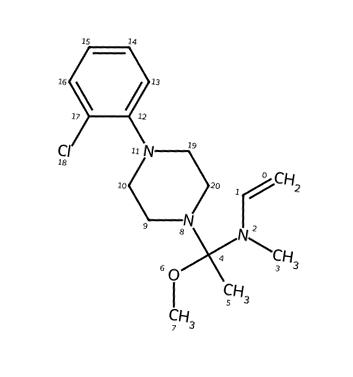 C=CN(C)C(C)(OC)N1CCN(c2ccccc2Cl)CC1